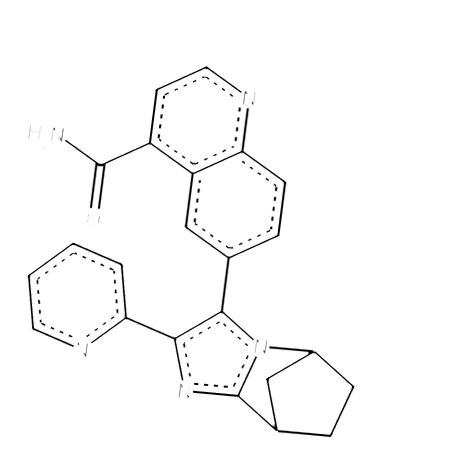 NC(=O)c1ccnc2ccc(-c3c(-c4ccccn4)nc4n3C3CCC4C3)cc12